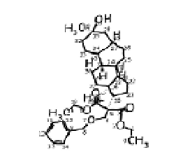 CCOC(=O)C(COCc1ccccc1)(C(=O)OCC)[C@H]1CC[C@H]2[C@@H]3CC[C@@H]4C[C@](C)(O)CC[C@@H]4[C@H]3CC[C@]12C